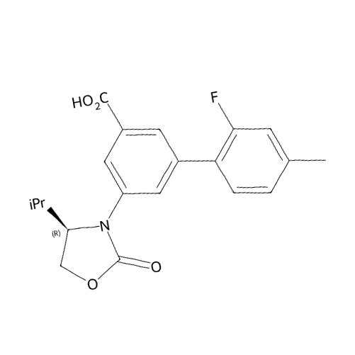 Cc1ccc(-c2cc(C(=O)O)cc(N3C(=O)OC[C@H]3C(C)C)c2)c(F)c1